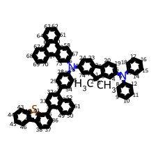 CC1(C)c2cc(N(c3ccccc3)c3ccccc3)ccc2-c2ccc(N(c3ccc(-c4ccc(-c5cccc6c5sc5ccccc56)c5ccccc45)cc3)c3ccc4c5ccccc5c5ccccc5c4c3)cc21